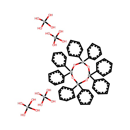 O[Si](O)(O)O.O[Si](O)(O)O.O[Si](O)(O)O.O[Si](O)(O)O.c1ccc([Si]2(c3ccccc3)O[Si](c3ccccc3)(c3ccccc3)O[Si](c3ccccc3)(c3ccccc3)O[Si](c3ccccc3)(c3ccccc3)O2)cc1